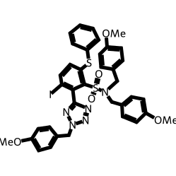 COc1ccc(CN(Cc2ccc(OC)cc2)S(=O)(=O)c2c(Sc3ccccc3)ccc(I)c2-c2nnn(Cc3ccc(OC)cc3)n2)cc1